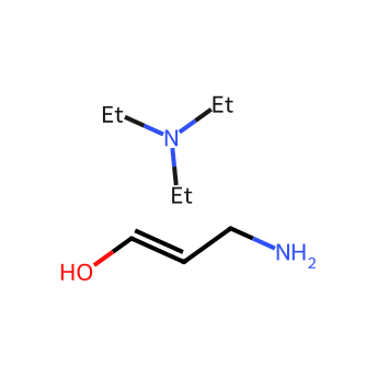 CCN(CC)CC.NCC=CO